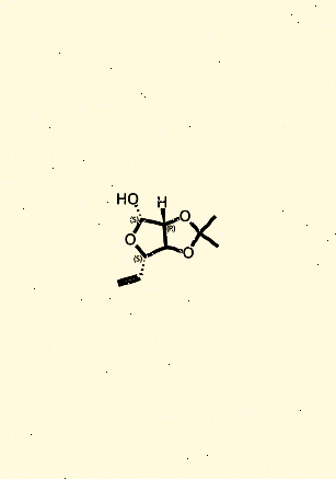 C=C[C@@H]1O[C@H](O)[C@@H]2OC(C)(C)OC12